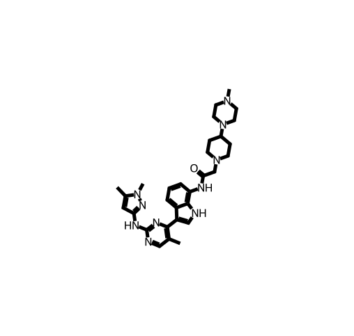 Cc1cnc(Nc2cc(C)n(C)n2)nc1-c1c[nH]c2c(NC(=O)CN3CCC(N4CCN(C)CC4)CC3)cccc12